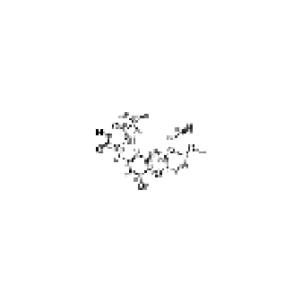 COc1ccc(Oc2c(Br)cc(C[C@H](NC(=O)C(F)(F)F)C(=O)O)cc2Br)cc1CC#N